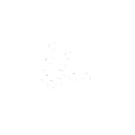 c1ccc(-c2ccc(-c3nc4ccc5ccc6ccc(N(c7ccc8c(c7)sc7ccccc78)c7ccc8oc9ccccc9c8c7)cc6c5c4o3)cc2)cc1